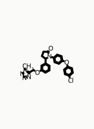 Cn1nnnc1COc1cccc(C2CCC(=O)N2c2ccc(Oc3ccc(Cl)cc3)cc2)c1